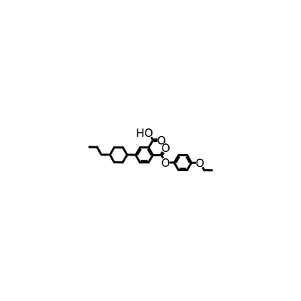 CCCC1CCC(c2ccc(C(=O)Oc3ccc(OCC)cc3)c(C(=O)O)c2)CC1